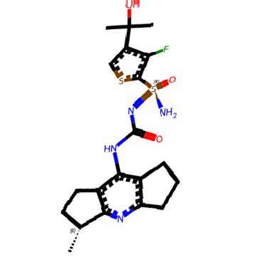 C[C@@H]1CCc2c1nc1c(c2NC(=O)N=[S@@](N)(=O)c2scc(C(C)(C)O)c2F)CCC1